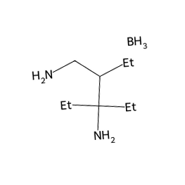 B.CCC(CN)C(N)(CC)CC